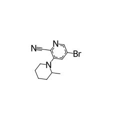 CC1CCCCN1c1cc(Br)cnc1C#N